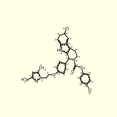 Cc1cc(N)nn1CCOc1ccc(C2c3[nH]c4c(c3CCN2C(=O)Oc2ccc(Cl)cc2)=CC(Cl)CC=4)cc1